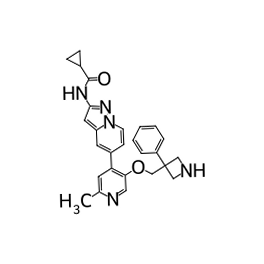 Cc1cc(-c2ccn3nc(NC(=O)C4CC4)cc3c2)c(OCC2(c3ccccc3)CNC2)cn1